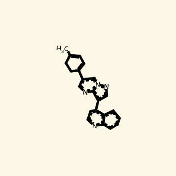 CC1=CC=C(c2cnc3c(-c4ccnc5ccccc45)cnn3c2)CC1